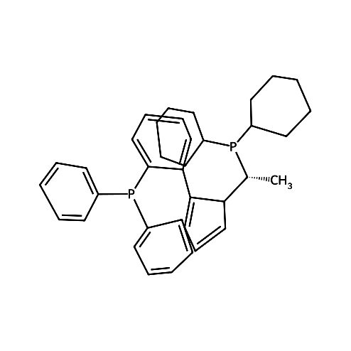 C[C@H](C1C=CC=C1c1ccccc1P(c1ccccc1)c1ccccc1)P(C1CCCCC1)C1CCCCC1